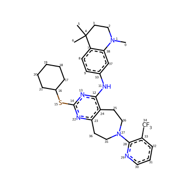 CN1CCC(C)(C)c2ccc(Nc3nc(SC4CCCCC4)nc4c3CCN(c3ncccc3C(F)(F)F)CC4)cc21